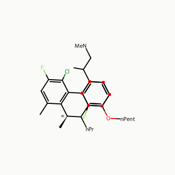 CCCCCOc1ccc(C(C)CNC)c(-c2c(Cl)c(F)cc(C)c2[C@H](C)C(CCC)c2ccccc2)c1F